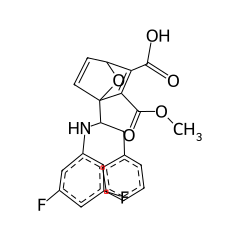 COC(=O)C1=C(C(=O)O)C2C=CC1(C(Cc1ccccc1)Nc1cc(F)cc(F)c1)O2